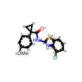 COc1ccc(C2(C(=O)Nc3nc4c(Cl)cccc4s3)CC2)cc1